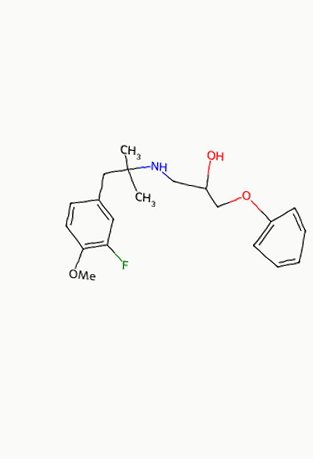 COc1ccc(CC(C)(C)NCC(O)COc2ccccc2)cc1F